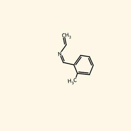 C=C/N=C\c1ccccc1C